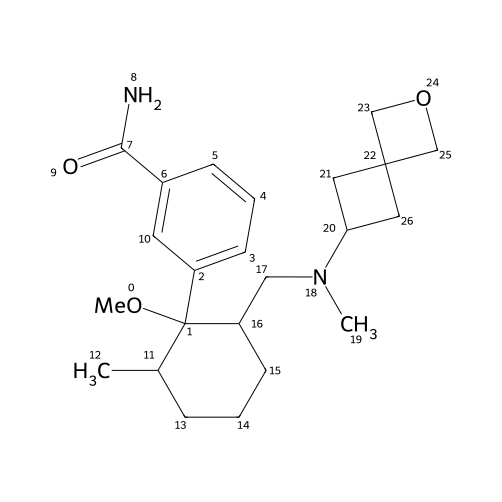 COC1(c2cccc(C(N)=O)c2)C(C)CCCC1CN(C)C1CC2(COC2)C1